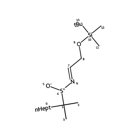 CCCCCCCC(C)(C)[S+]([O-])N=CCO[Si](C)(C)C(C)(C)C